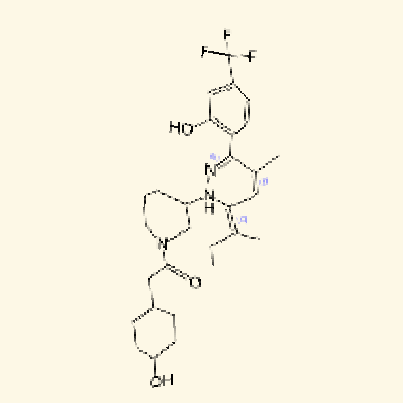 CC/C(C)=C(/C=C(C)\C(=N/C)c1ccc(C(F)(F)F)cc1O)NC1CCCN(C(=O)CC2CCC(O)CC2)C1